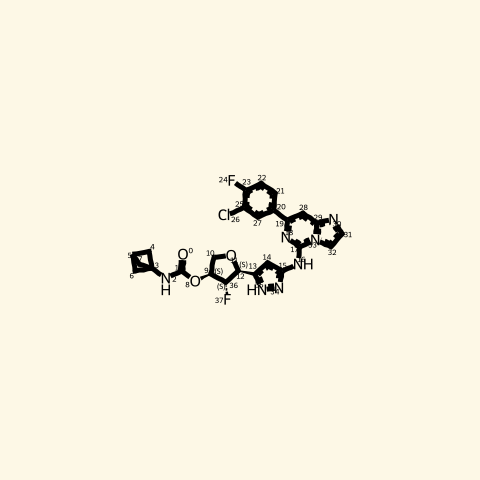 O=C(NC12CC(C1)C2)O[C@H]1CO[C@@H](c2cc(Nc3nc(-c4ccc(F)c(Cl)c4)cc4nccn34)n[nH]2)[C@@H]1F